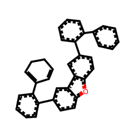 C1=CC(c2ccccc2-c2ccc3oc4ccc(-c5ccccc5-c5ccccc5)cc4c3c2)=CCC1